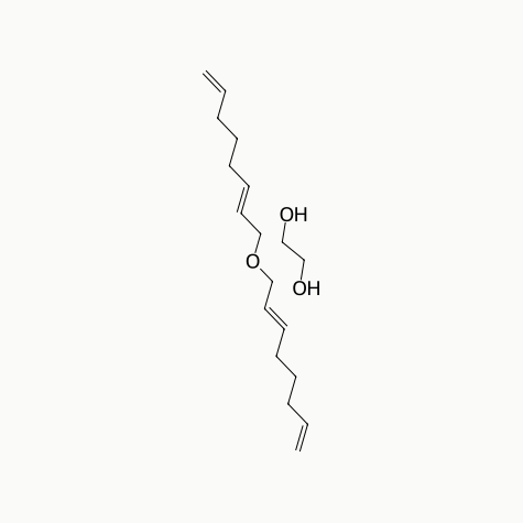 C=CCCC/C=C/COC/C=C/CCCC=C.OCCO